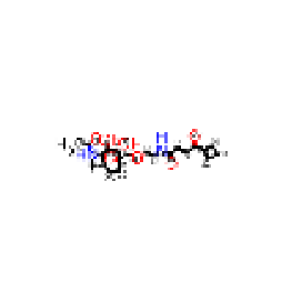 CC(=O)N[C@H]1[C@@H](O)[C@@H](O)[C@]2(COCCNC(=O)/C=C/C(=O)C3CCC3)CC[C@H]1O2